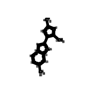 Cc1nc(C(F)(F)F)sc1-c1cn2ccc(C(F)(F)F)cc2n1